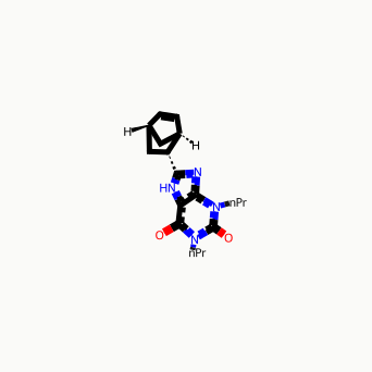 CCCn1c(=O)c2[nH]c([C@@H]3C[C@@H]4C=C[C@@H]3C4)nc2n(CCC)c1=O